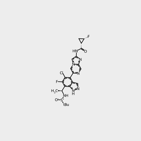 C[C@H](N[S+]([O-])C(C)(C)C)c1c(F)c(Cl)c(-c2cn3cc(NC(=O)[C@@H]4C[C@@H]4F)nc3cn2)c2cn[nH]c12